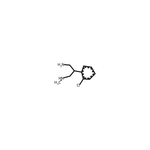 CNCC(CN)c1ccccc1Cl